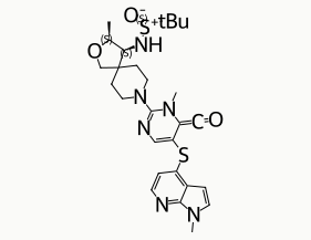 C[C@@H]1OCC2(CCN(C3=NC=C(Sc4ccnc5c4ccn5C)C(=C=O)N3C)CC2)[C@@H]1N[S@+]([O-])C(C)(C)C